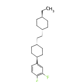 CC[C@H]1CC[C@H](CC[C@H]2CC[C@H](c3ccc(F)c(F)c3)CC2)CC1